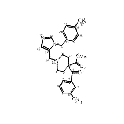 COC(=O)C1(C(=O)c2cccc(C)c2)CCN(Cc2cncn2Cc2ccc(C#N)cc2)CC1